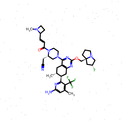 Cc1cc(N)nc([C@@H]2Cc3nc(OC[C@@]45CCCN4C[C@H](F)C5)nc(N4CCN(C(=O)/C=C/C5CCN5C)[C@@H](CC#N)C4)c3C[C@H]2C)c1C(F)(F)F